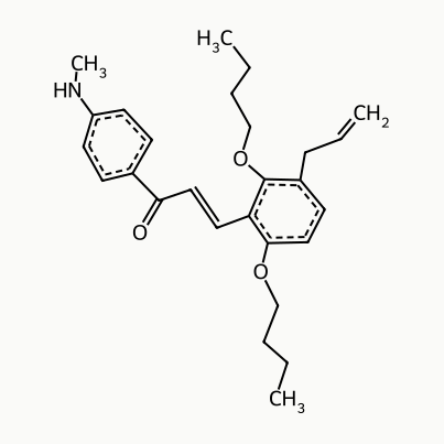 C=CCc1ccc(OCCCC)c(C=CC(=O)c2ccc(NC)cc2)c1OCCCC